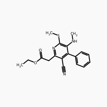 CCOC(=O)Cc1nc(SC)c(NC)c(-c2ccccc2)c1C#N